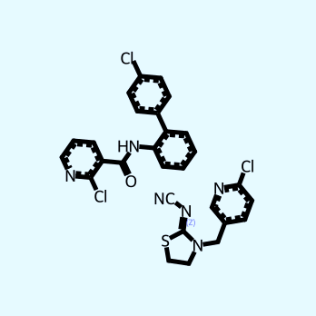 N#C/N=C1\SCCN1Cc1ccc(Cl)nc1.O=C(Nc1ccccc1-c1ccc(Cl)cc1)c1cccnc1Cl